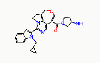 N[C@@H]1CCN(C(=O)C2=COCC3=C4C2=CN=C(c2cc5ccccc5n2CC2CC2)N4CC3)C1